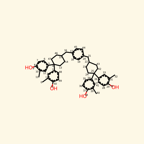 Cc1cc(C2(c3ccc(O)c(C)c3)CCC(Cc3ccc(CC4CCC(c5ccc(O)c(C)c5)(c5ccc(O)c(C)c5)CC4)cc3)CC2)ccc1O